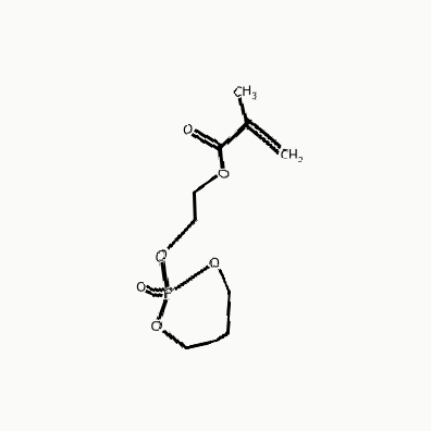 C=C(C)C(=O)OCCOP1(=O)OCCCO1